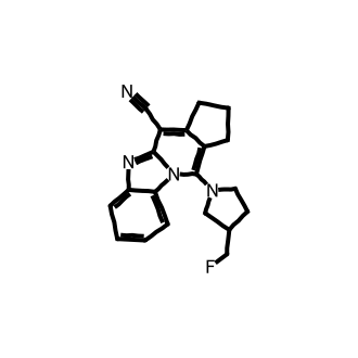 N#Cc1c2c(c(N3CCC(CF)C3)n3c1nc1ccccc13)CCC2